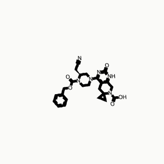 N#CC[C@H]1CN(c2nc(=O)[nH]c3c2CC2(CC2)N(C(=O)O)C3)CCN1C(=O)OCc1ccccc1